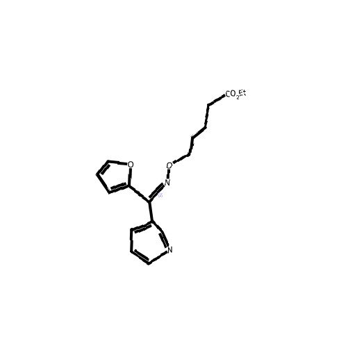 CCOC(=O)CCCCO/N=C(/c1cccnc1)c1ccco1